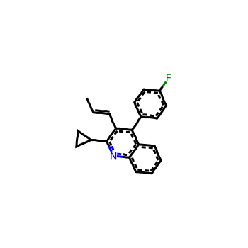 CC=Cc1c(C2CC2)nc2ccccc2c1-c1ccc(F)cc1